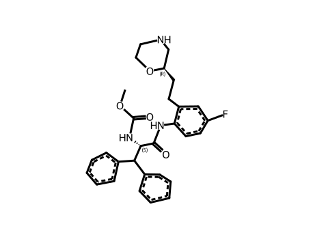 COC(=O)N[C@H](C(=O)Nc1ccc(F)cc1CC[C@@H]1CNCCO1)C(c1ccccc1)c1ccccc1